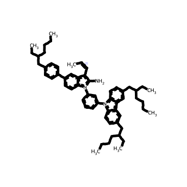 C/C=C\c1c(N)n(-c2cccc(-n3c4ccc(CC(CC)CCCC)cc4c4cc(CC(CC)CCCC)ccc43)c2)c2ccc(-c3ccc(CC(CC)CCCC)cc3)cc12